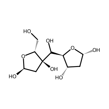 OC[C@H]1O[C@H](O)C[C@@]1(O)C(O)[C@H]1O[C@H](O)C[C@@H]1O